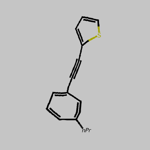 CCCc1cccc(C#Cc2cccs2)c1